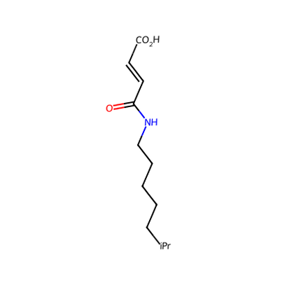 CC(C)CCCCCNC(=O)C=CC(=O)O